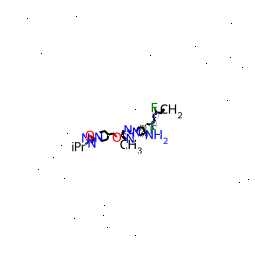 C=C/C(F)=C\C=C(\F)C[C@H]1CN(c2ncc(OCC3CCN(c4nc(C(C)C)no4)CC3)c(C)n2)C[C@@H]1N